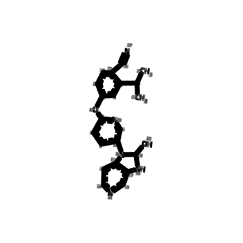 CC(C)c1cc(Oc2ccc(N3c4ccncc4NC3O)cn2)ccc1C#N